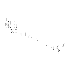 Cc1ccc(NC(=O)c2ccc(CN3CCN(CCCOCCOCCOCCOCCOCCNc4cccc5c4C(=O)N(C4CCC(=O)NC4=O)C5=O)CC3)cc2)cc1Nc1nccc(-c2cccnc2)n1